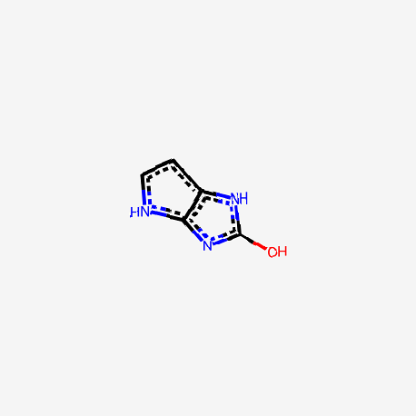 Oc1nc2[nH]ccc2[nH]1